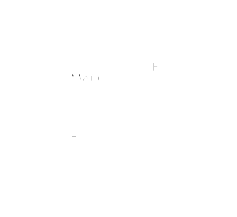 COc1c(F)cccc1F